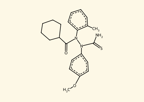 COc1ccc(N(C(N)=S)N(C(=O)C2CCCCC2)c2ccccc2C)cc1